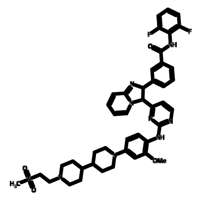 COc1cc(N2CCC(C3CCN(CCS(C)(=O)=O)CC3)CC2)ccc1Nc1nccc(C2C(c3cccc(C(=O)Nc4c(F)cccc4F)c3)N=C3C=CC=CN32)n1